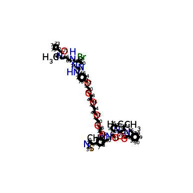 Cc1ncsc1-c1ccc(CNC(=O)[C@@H]2CCCN2C(=O)C(C(C)C)N2Cc3ccccc3C2=O)c(OCCOCCOCCCOCCOCCOc2ccc(Nc3ncc(Br)c(NCCCN(C)C(=O)C4CCC4)n3)cc2)c1